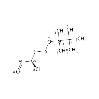 CC(C)(C)[Si](C)(C)OCC[C@@H](Cl)C=O